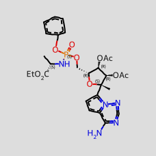 CCOC(=O)[C@H](C)N[P@](=O)(OC[C@H]1O[C@@](C)(c2ccc3c(N)ncnn23)[C@H](OC(C)=O)[C@@H]1OC(C)=O)Oc1ccccc1